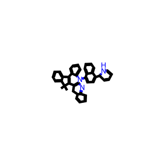 CC1(C)C2=C(c3ccccc3N(c3ccc(C4C=CC=CN4)c4ccccc34)C3=C2CC2C=CC=CC2=N3)c2ccccc21